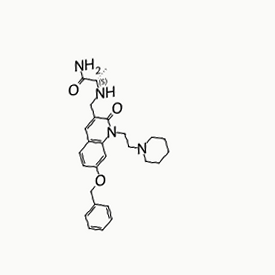 C[C@H](NCc1cc2ccc(OCc3ccccc3)cc2n(CCN2CCCCC2)c1=O)C(N)=O